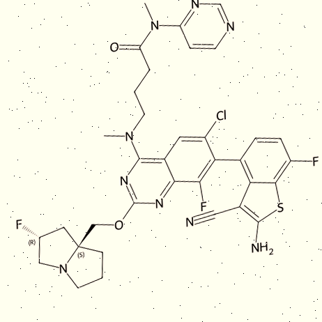 CN(CCCC(=O)N(C)c1ccncn1)c1nc(OC[C@@]23CCCN2C[C@H](F)C3)nc2c(F)c(-c3ccc(F)c4sc(N)c(C#N)c34)c(Cl)cc12